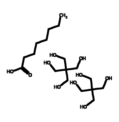 CCCCCCCC(=O)O.OCC(CO)(CO)CO.OCC(CO)(CO)CO